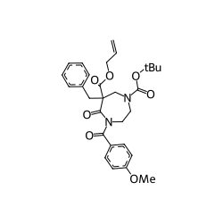 C=CCOC(=O)C1(Cc2ccccc2)CN(C(=O)OC(C)(C)C)CCN(C(=O)c2ccc(OC)cc2)C1=O